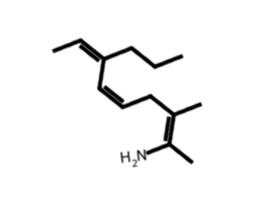 C/C=C(\C=C/C/C(C)=C(/C)N)CCC